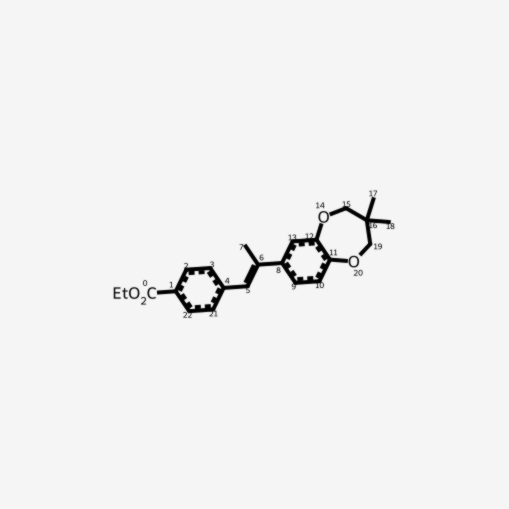 CCOC(=O)c1ccc(C=C(C)c2ccc3c(c2)OCC(C)(C)CO3)cc1